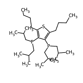 CCCCc1sc(CCCC)c(P(CC(C)C)CC(C)C)c1P(CC(C)C)CC(C)C